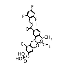 CC1c2ccc(C(=O)NCc3c(F)cc(F)cc3F)cc2N(Cc2c(F)cc(OP(=O)(O)O)cc2Cl)C(=O)N1C